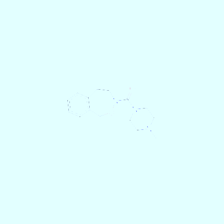 CN1CCN(C(=O)N2CCc3ccccc3CO2)CC1